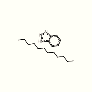 CCCCCCCCCCCC.c1ccc2[nH]nnc2c1